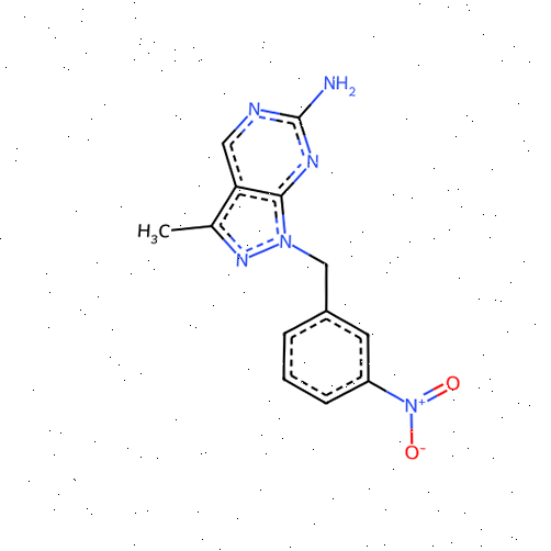 Cc1nn(Cc2cccc([N+](=O)[O-])c2)c2nc(N)ncc12